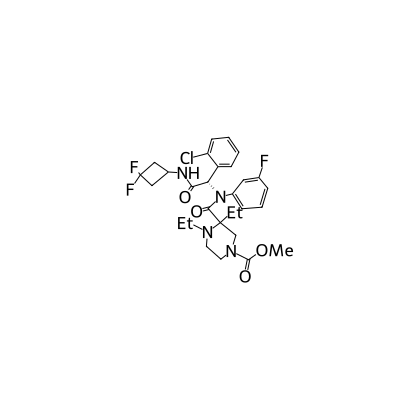 CCN1CCN(C(=O)OC)CC1(CC)C(=O)N(c1cccc(F)c1)[C@H](C(=O)NC1CC(F)(F)C1)c1ccccc1Cl